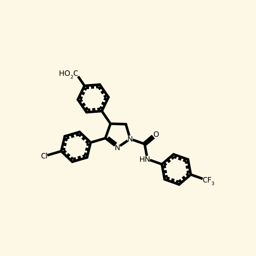 O=C(O)c1ccc(C2CN(C(=O)Nc3ccc(C(F)(F)F)cc3)N=C2c2ccc(Cl)cc2)cc1